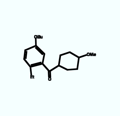 CCc1ccc(OCC(C)C)cc1C(=O)C1CCC(OC)CC1